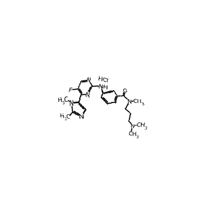 Cc1ncc(-c2nc(Nc3cccc(C(=O)N(C)CCCN(C)C)c3)ncc2F)n1C.Cl